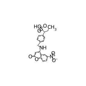 CCC(c1ccc(CNc2cc(=O)oc3ccc([N+](=O)[O-])cc23)cc1)S(=O)(=O)O